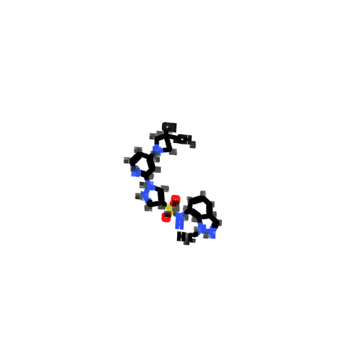 Cn1ncc2cccc(NS(=O)(=O)c3cnn(-c4cc(N5CC(C)(C#N)C5)ccn4)c3)c21